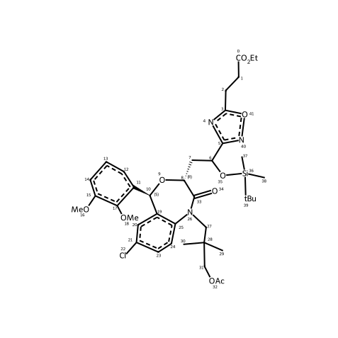 CCOC(=O)CCc1nc(C(C[C@H]2O[C@H](c3cccc(OC)c3OC)c3cc(Cl)ccc3N(CC(C)(C)COC(C)=O)C2=O)O[Si](C)(C)C(C)(C)C)no1